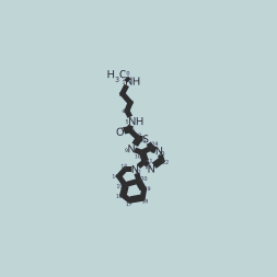 CNCCCNC(=O)c1nc2c(N3CCc4ccccc43)ncnc2s1